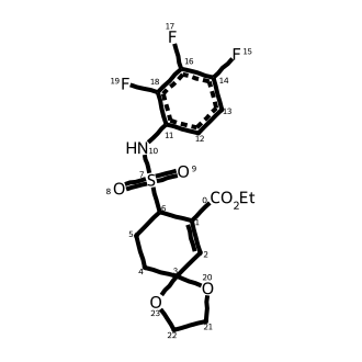 CCOC(=O)C1=CC2(CCC1S(=O)(=O)Nc1ccc(F)c(F)c1F)OCCO2